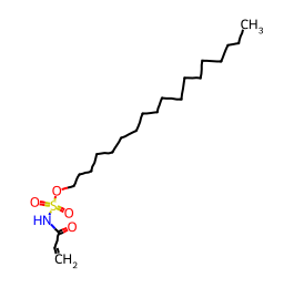 C=CC(=O)NS(=O)(=O)OCCCCCCCCCCCCCCCCCC